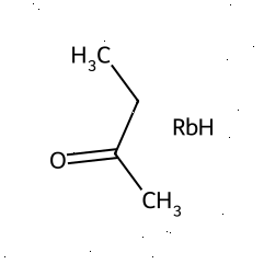 CCC(C)=O.[RbH]